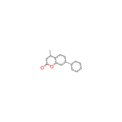 Cc1cc(=O)oc2cc(-c3ccccc3)ccc12